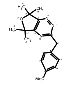 COc1ccc(Cc2nnc3c(n2)C(C)(C)OC3(C)C)cc1